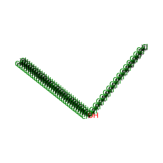 CO.ClCCl.ClCCl.ClCCl.ClCCl.ClCCl.ClCCl.ClCCl.ClCCl.ClCCl.ClCCl.ClCCl.ClCCl.ClCCl.ClCCl.ClCCl.ClCCl.ClCCl.ClCCl.ClCCl.ClCCl.ClCCl.ClCCl.ClCCl.ClCCl.ClCCl.ClCCl.ClCCl.ClCCl.ClCCl.ClCCl.ClCCl.ClCCl.ClCCl.ClCCl.ClCCl.ClCCl.ClCCl.ClCCl.ClCCl.ClCCl.ClCCl.ClCCl.ClCCl.ClCCl.ClCCl.ClCCl.ClCCl.ClCCl.ClCCl